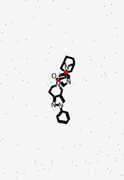 O=C(CN1CC2CCC(C1)N2c1cncnc1)N1CCc2nn(-c3ccccc3)cc2C1